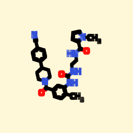 Cc1ccc(C(=O)N2CCC(c3ccc(C#N)cc3)CC2)cc1NC(=O)NCCNC(=O)c1cccn1C